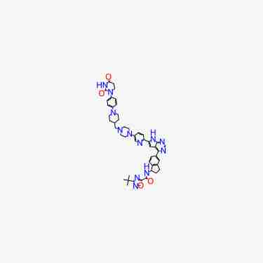 CC(C)(C)c1noc(C(=O)N[C@@H]2CCc3cc(-c4ncnc5[nH]c(-c6ccc(N7CCN(CC8CCN(c9ccc(N%10CCC(=O)NC%10=O)cc9)CC8)CC7)cn6)cc45)ccc32)n1